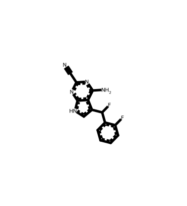 N#Cc1nc(N)c2c(C(F)c3ccccc3F)c[nH]c2n1